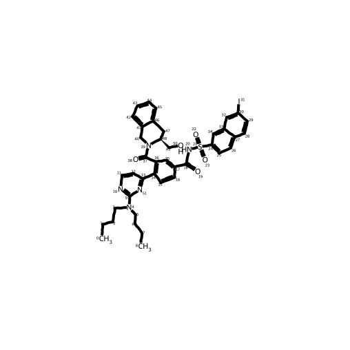 CCCCN(CCCC)c1nccc(-c2ccc(C(=O)NS(=O)(=O)c3ccc4ccc(I)cc4c3)cc2C(=O)N2Cc3ccccc3C[C@H]2CO)n1